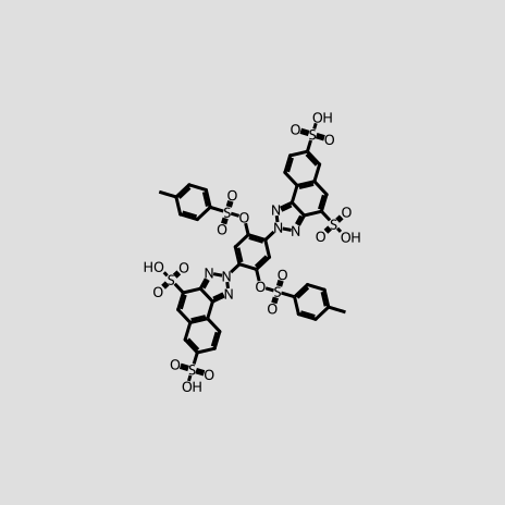 Cc1ccc(S(=O)(=O)Oc2cc(-n3nc4c(S(=O)(=O)O)cc5cc(S(=O)(=O)O)ccc5c4n3)c(OS(=O)(=O)c3ccc(C)cc3)cc2-n2nc3c(S(=O)(=O)O)cc4cc(S(=O)(=O)O)ccc4c3n2)cc1